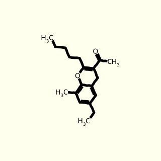 CCCCCC1=C(C(C)=O)Cc2cc(CC)cc(C)c2O1